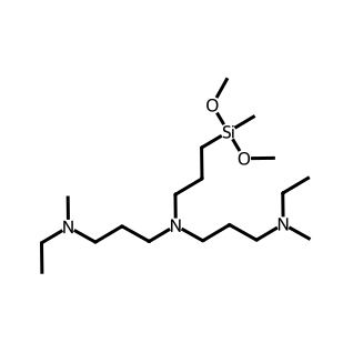 CCN(C)CCCN(CCCN(C)CC)CCC[Si](C)(OC)OC